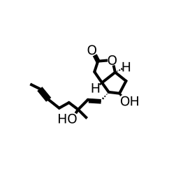 CC#CCCC(C)(O)C=C[C@@H]1[C@H]2CC(=O)O[C@H]2C[C@H]1O